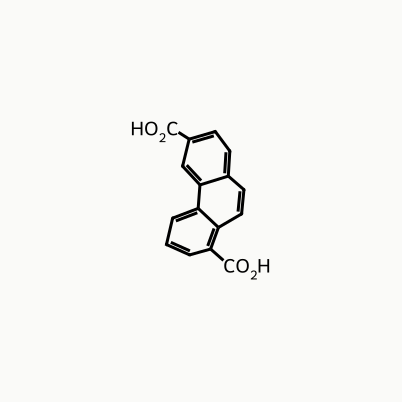 O=C(O)c1ccc2ccc3c(C(=O)O)cccc3c2c1